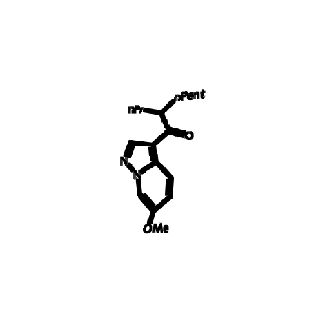 CCCCCC(CCC)C(=O)c1cnn2cc(OC)ccc12